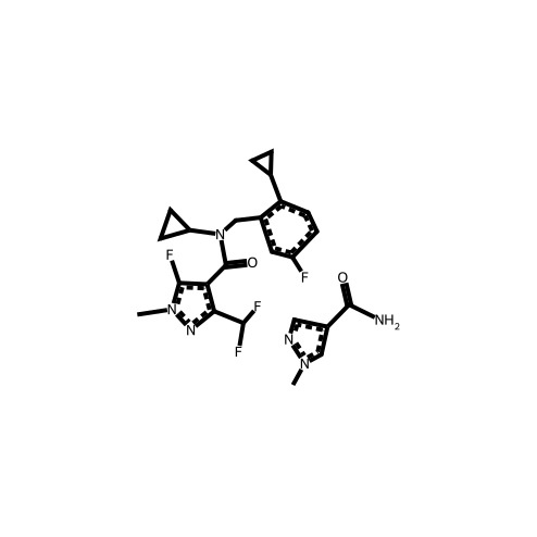 Cn1cc(C(N)=O)cn1.Cn1nc(C(F)F)c(C(=O)N(Cc2cc(F)ccc2C2CC2)C2CC2)c1F